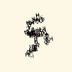 CC(C)(C)C(OP(=O)(OC([C@@H]1CCCN1CCCOc1ccc2c(Nc3cnn(CC(=O)Nc4cccc(F)c4F)c3)ncnc2c1)(C(C)(C)C)C(C)(C)C)OC([C@@H]1CCCN1CCCOc1ccc2c(Nc3cnn(CC(=O)Nc4cccc(F)c4F)c3)ncnc2c1)(C(C)(C)C)C(C)(C)C)([C@@H]1CCCN1CCCOc1ccc2c(Nc3cnn(CC(=O)Nc4cccc(F)c4F)c3)ncnc2c1)C(C)(C)C